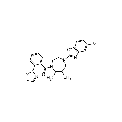 CC1CN(c2nc3cc(Br)ccc3o2)CCN(C(=O)c2ccccc2-n2nccn2)C1C